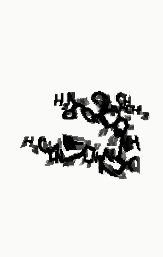 CC1CN(CC2(F)CCN(c3ncc(Cl)c(Nc4ccc5c(c4)cc(OCC(N)=O)c(=O)n5C(C)C)n3)CC2)C1